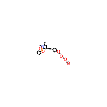 CCOP(=O)(c1ccccc1)c1cc(C#Cc2ccc(OCCOCCOCCOC)cc2)cc(CC)n1